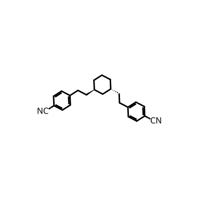 N#Cc1ccc(CC[C@H]2CCC[C@H](CCc3ccc(C#N)cc3)C2)cc1